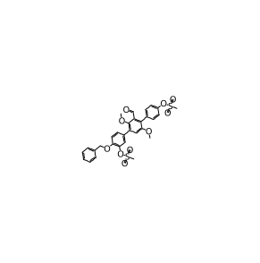 COc1cc(-c2ccc(OCc3ccccc3)c(OS(C)(=O)=O)c2)c(OC)c(C=O)c1-c1ccc(OS(C)(=O)=O)cc1